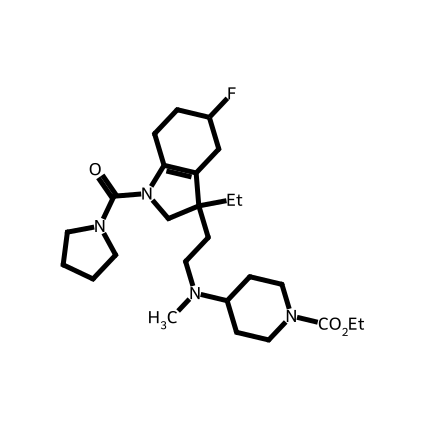 CCOC(=O)N1CCC(N(C)CCC2(CC)CN(C(=O)N3CCCC3)C3=C2CC(F)CC3)CC1